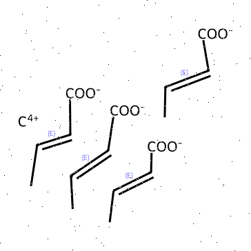 C/C=C/C(=O)[O-].C/C=C/C(=O)[O-].C/C=C/C(=O)[O-].C/C=C/C(=O)[O-].[C+4]